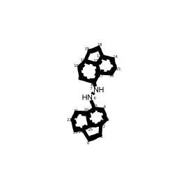 C1=Cc2ccc(NNc3ccc4c5c(cccc35)C=C4)c3cccc1c23